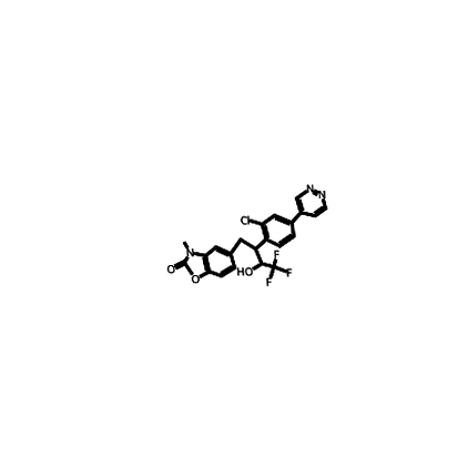 Cn1c(=O)oc2ccc(CC(c3ccc(-c4ccnnc4)cc3Cl)C(O)C(F)(F)F)cc21